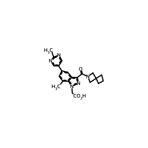 Cc1ncc(-c2cc(C)c3c(c2)c(C(=O)N2CC4(CCC4)C2)nn3CC(=O)O)cn1